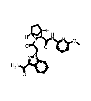 COc1cccc(NC(=O)C2[C@H]3CC[C@H](C3)N2C(=O)Cn2nc(C(N)=O)c3ccccc32)n1